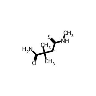 CNC(=S)[CH]C(C)(C)C(N)=O